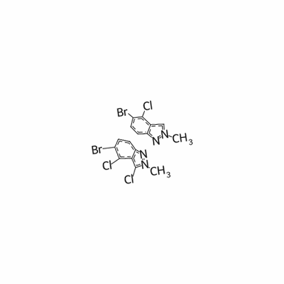 Cn1cc2c(Cl)c(Br)ccc2n1.Cn1nc2ccc(Br)c(Cl)c2c1Cl